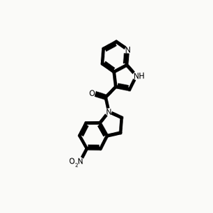 O=C(c1c[nH]c2ncccc12)N1CCc2cc([N+](=O)[O-])ccc21